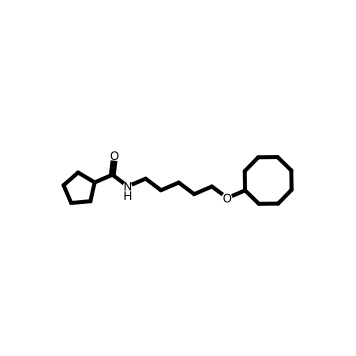 O=C(NCCCCCOC1CCCCCCC1)C1CCCC1